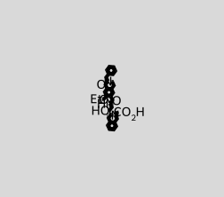 CCOc1cc2c(cc1C(=O)NCC(O)[C@@H]1Cc3ccccc3CN1C(=O)O)CCN(Cc1ccccc1)C2=O